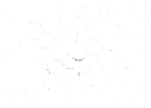 CCOC(=O)c1cc2c3ccccc3n(Cn3c4ccccc4c4cc(CC)nc(-c5cc(CO)c(CO)c(OC)c5)c43)c2c(-c2cc(OC)c(OC)c(OC)c2)n1